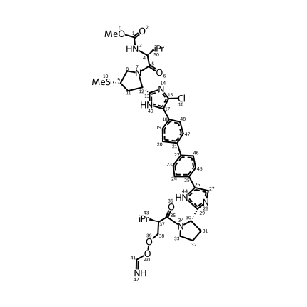 COC(=O)N[C@H](C(=O)N1C[C@@H](SC)C[C@H]1c1nc(Cl)c(-c2ccc(-c3ccc(-c4cnc([C@@H]5CCCN5C(=O)[C@@H](COOC=N)C(C)C)[nH]4)cc3)cc2)[nH]1)C(C)C